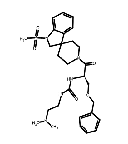 CN(C)CCNC(=O)N[C@H](COCc1ccccc1)C(=O)N1CCC2(CC1)CN(S(C)(=O)=O)c1ccccc12